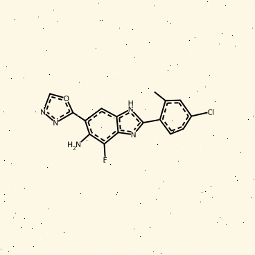 Cc1cc(Cl)ccc1-c1nc2c(F)c(N)c(-c3nnco3)cc2[nH]1